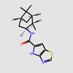 C[C@@H]1[C@@H](NC(=O)c2cc3scnc3[nH]2)C[C@H]2C[C@@H]1C2(C)C